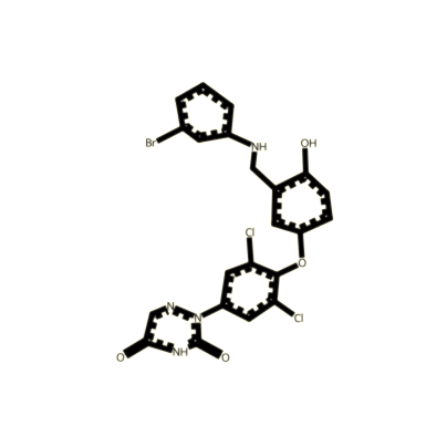 O=c1cnn(-c2cc(Cl)c(Oc3ccc(O)c(CNc4cccc(Br)c4)c3)c(Cl)c2)c(=O)[nH]1